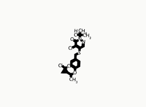 CC(Oc1ccc(CSc2cnn(C(C)(C)C)c(=O)c2Cl)cc1)C1CC1(Cl)Cl